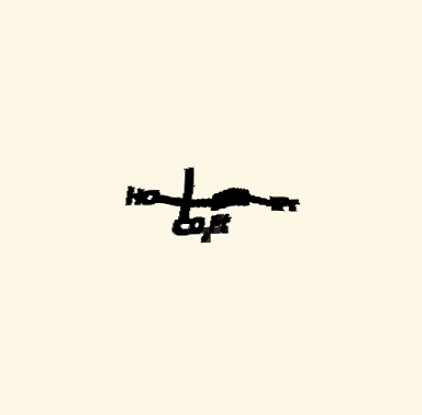 CCOC(=O)C(C)(O)C#CC(C)C